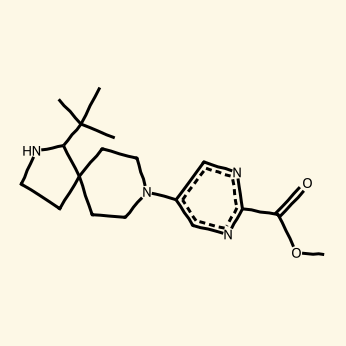 COC(=O)c1ncc(N2CCC3(CCNC3C(C)(C)C)CC2)cn1